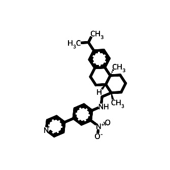 CC(C)c1ccc2c(c1)CC[C@H]1[C@@](C)(CNc3ccc(-c4ccncc4)cc3[N+](=O)[O-])CCC[C@]21C